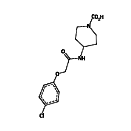 O=C(COc1ccc(Cl)cc1)NC1CCN(C(=O)O)CC1